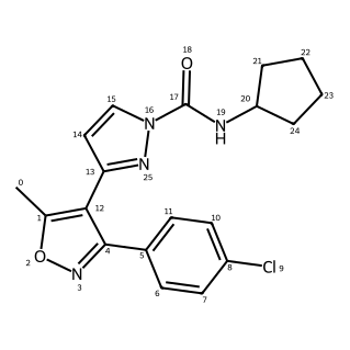 Cc1onc(-c2ccc(Cl)cc2)c1-c1ccn(C(=O)NC2CCCC2)n1